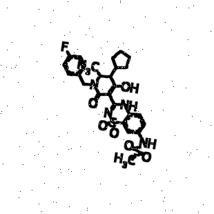 CC1C(C2CCCC2)C(O)=C(C2=NS(=O)(=O)c3cc(NS(C)(=O)=O)ccc3N2)C(=O)N1Cc1ccc(F)cc1